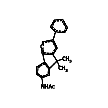 CC(=O)Nc1ccc2c(c1)C(C)(C)c1cc(-c3ccccc3)ccc1-2